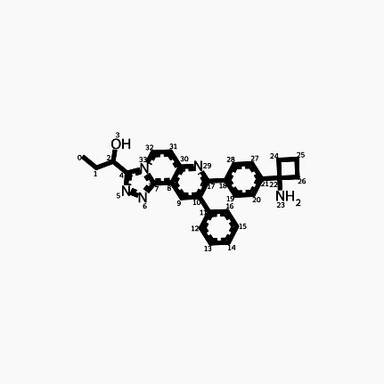 CCC(O)c1nnc2c3cc(-c4ccccc4)c(-c4ccc(C5(N)CCC5)cc4)nc3ccn12